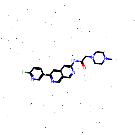 CN1CCN(CC(=O)Nc2cc3cc(-c4ccc(F)nc4)ncc3cn2)CC1